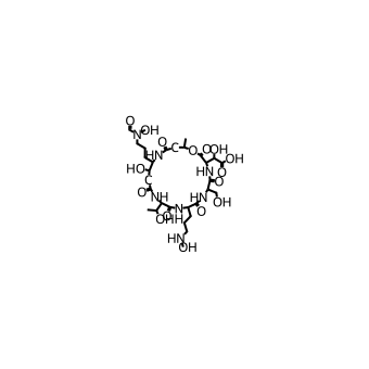 CC1CC(=O)NC(CCCN(O)C=O)C(O)CC(=O)NC(C(C)O)C(=O)NC(CCCNO)C(=O)NC(CO)C(=O)NC(C(O)C(=O)O)C(=O)O1